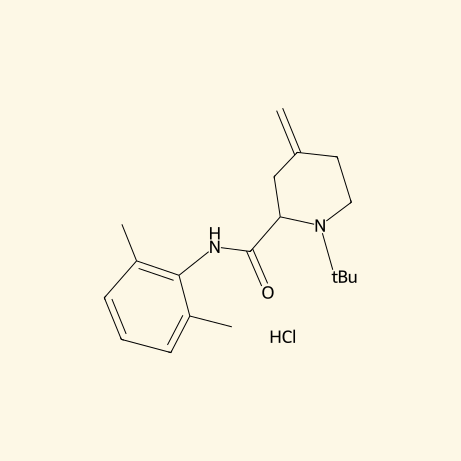 C=C1CCN(C(C)(C)C)C(C(=O)Nc2c(C)cccc2C)C1.Cl